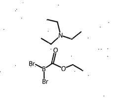 CCN(CC)CC.CCOC(=O)B(Br)Br